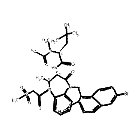 COc1ccc2cc(Br)ccc2c1CN1C(=O)[C@@H](NC(=O)[C@H](CC(C)(C)C)N(C)C(=O)O)[C@H](C)N(C(=O)CS(C)(=O)=O)c2ccccc21